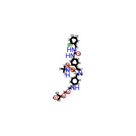 CC(C)(C)NS(=O)(=O)c1cc(NC(=O)NCc2ccccc2F)ccc1-c1cnc(C2CCC(NCOCOC3COC3)CC2)s1